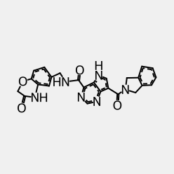 O=C1COc2ccc(CNC(=O)c3ncnc4c(C(=O)N5Cc6ccccc6C5)c[nH]c34)cc2N1